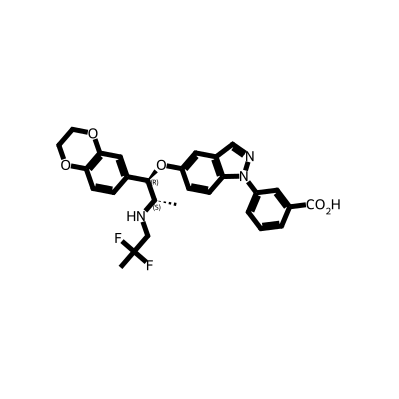 C[C@H](NCC(C)(F)F)[C@H](Oc1ccc2c(cnn2-c2cccc(C(=O)O)c2)c1)c1ccc2c(c1)OCCO2